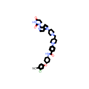 N#Cc1ccc(O[C@H]2CC[C@H](NC(=O)c3ccc(N4CCC(CN5CCC(n6ccc7c(N8CCC(=O)NC8=O)nccc76)CC5)CC4)cc3)CC2)cc1Cl